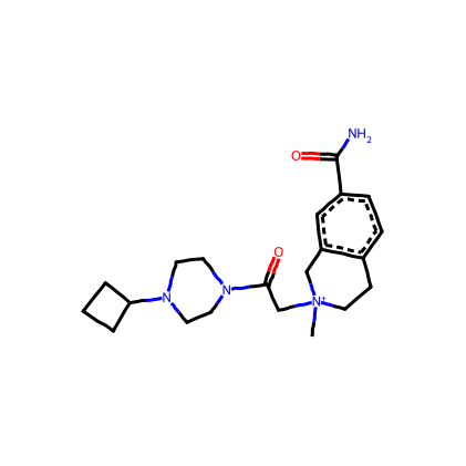 C[N+]1(CC(=O)N2CCN(C3CCC3)CC2)CCc2ccc(C(N)=O)cc2C1